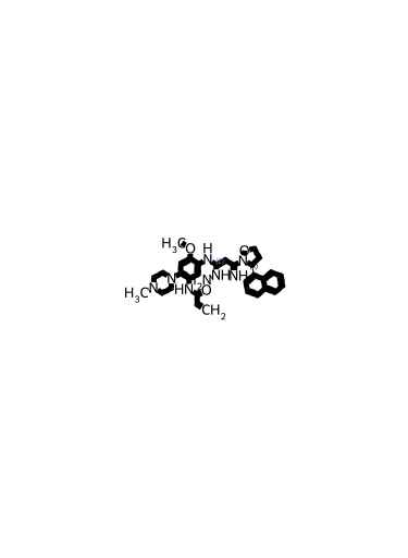 C=CC(=O)Nc1cc(N/C(=C/C(=N)N2OCC[C@@H]2c2cccc3ccccc23)NN)c(OC)cc1N1CCN(C)CC1